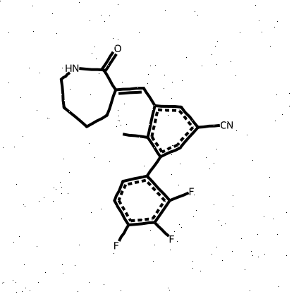 Cc1c(/C=C2\CCCCNC2=O)cc(C#N)cc1-c1ccc(F)c(F)c1F